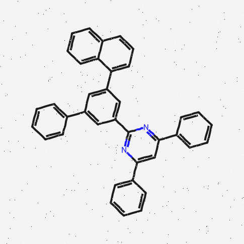 c1ccc(-c2cc(-c3nc(-c4ccccc4)cc(-c4ccccc4)n3)cc(-c3cccc4ccccc34)c2)cc1